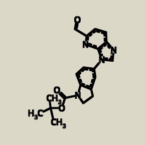 CC(C)(C)OC(=O)N1CCc2cc(-n3cnc4ccc(C=O)nc43)ccc21